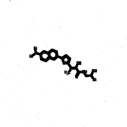 CCC(O)CNC(=O)/C(C#N)=C(\C)c1ccc(-c2ccc3cc(N(CC)CC)ccc3c2)s1